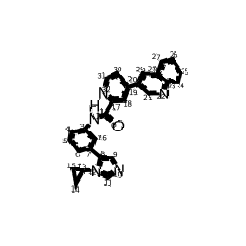 O=C(Nc1cccc(-c2cncn2C2CC2)c1)c1cc(-c2cnc3ccccc3c2)ccn1